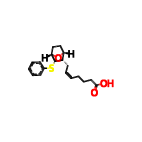 O=C(O)CCC/C=C\C[C@@H]1[C@H](Sc2ccccc2)[C@@H]2CC[C@H]1O2